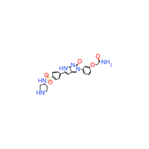 NC(=O)COc1cccc(-n2cc3cc(-c4ccc(S(=O)(=O)NC5CCNCC5)cc4)[nH]c3nc2=O)c1